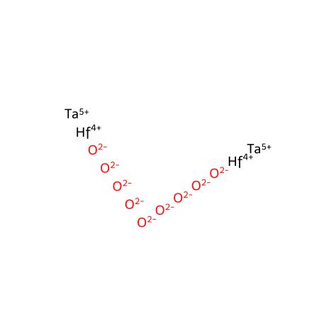 [Hf+4].[Hf+4].[O-2].[O-2].[O-2].[O-2].[O-2].[O-2].[O-2].[O-2].[O-2].[Ta+5].[Ta+5]